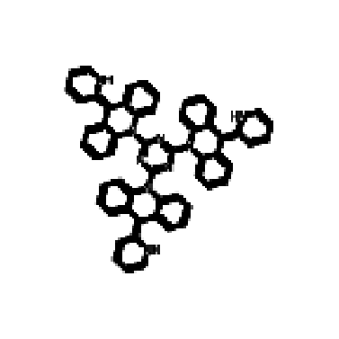 C1=CNC(=C2c3ccccc3N(c3nc(N4c5ccccc5C(=C5C=CC=CN5)c5ccccc54)nc(N4c5ccccc5C(=C5C=CC=CN5)c5ccccc54)n3)c3ccccc32)C=C1